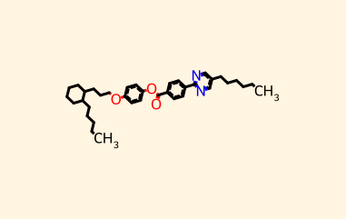 CCCCCCc1cnc(-c2ccc(C(=O)Oc3ccc(OCCCC4CCCCC4CCCCC)cc3)cc2)nc1